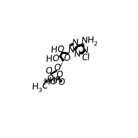 CCOC(=O)C(OC[C@H]1O[C@@H](n2cnc3c(N)nc(Cl)nc32)[C@H](O)[C@@H]1O)O[PH](=O)O